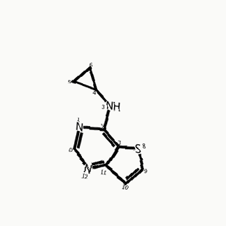 c1nc(NC2CC2)c2sccc2n1